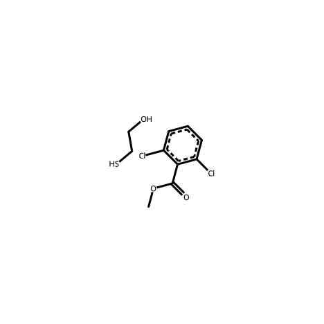 COC(=O)c1c(Cl)cccc1Cl.OCCS